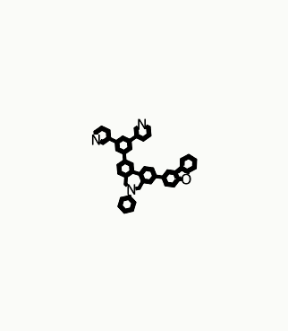 c1ccc(N2Cc3cc(-c4ccc5oc6ccccc6c5c4)ccc3-c3cc(-c4cc(-c5cccnc5)cc(-c5cccnc5)c4)ccc3C2)cc1